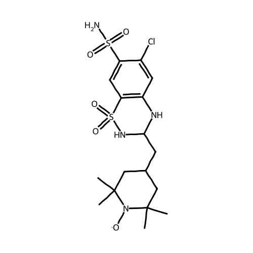 CC1(C)CC(CC2Nc3cc(Cl)c(S(N)(=O)=O)cc3S(=O)(=O)N2)CC(C)(C)N1[O]